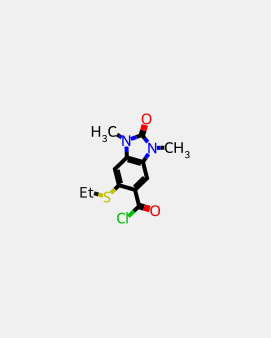 CCSc1cc2c(cc1C(=O)Cl)n(C)c(=O)n2C